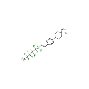 CCCCC1(C#N)CCC(c2ccc(/C=C/C(F)(F)C(F)(F)C(F)(F)C(F)(F)C(F)(F)C(F)(F)F)cc2)CC1